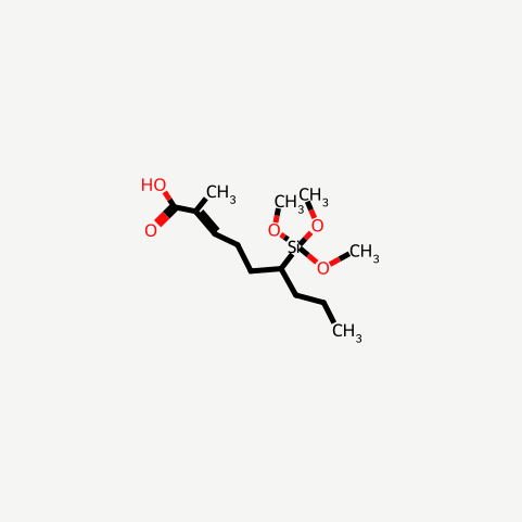 CCCC(CC/C=C(\C)C(=O)O)[Si](OC)(OC)OC